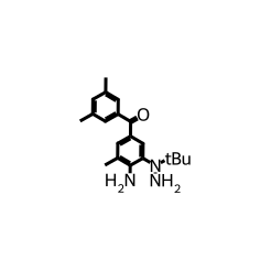 Cc1cc(C)cc(C(=O)c2cc(C)c(N)c(N(N)C(C)(C)C)c2)c1